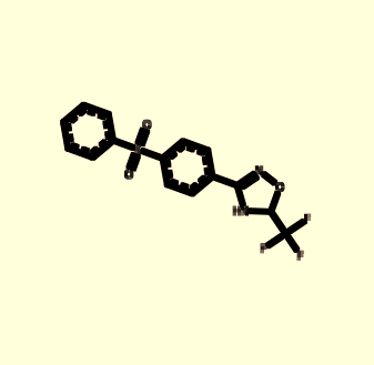 O=S(=O)(c1ccccc1)c1ccc(C2=NOC(C(F)(F)F)N2)cc1